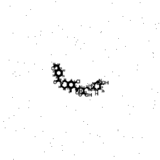 Cc1c2c(cc(Cl)c1C(=O)N[C@@H](CNC(=NC#N)N[C@@H](C)CO)C(=O)O)CN(C(=O)c1ccc3ccoc3c1)CC2